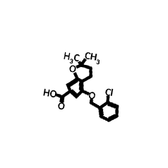 CC1(C)CCc2c(OCc3ccccc3Cl)cc(C(=O)O)cc2O1